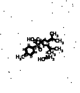 CC(C)=CCC(CC=C(C)C)(C(=O)O)S(=O)(=O)c1ccc(C)cc1.NO